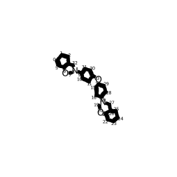 c1ccc2c(c#1)OCN(c1ccc(Oc3ccc(N4COc5ccccc5C4)cc3)cc1)C2